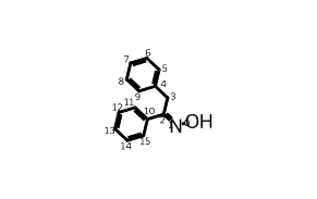 O/N=C(\Cc1ccccc1)c1ccccc1